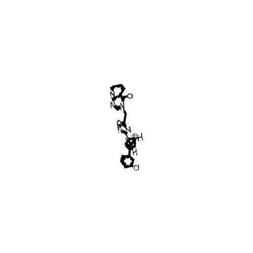 O=c1c2cccnc2ncn1Cc1nc([C@@]23C4=C(c5cccc(Cl)c5)C[C@@H]2[C@H]43)no1